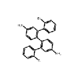 CCc1ccccc1-c1cc(N)ccc1-c1ccc(N)cc1-c1ccccc1CC